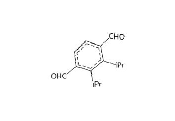 CC(C)c1c(C=O)ccc(C=O)c1C(C)C